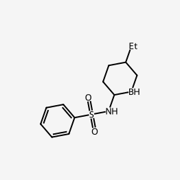 CCC1CBC(NS(=O)(=O)c2ccccc2)CC1